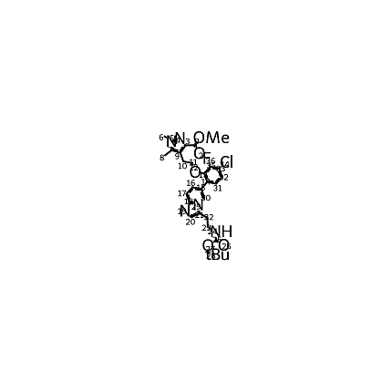 COC(=O)c1nn(C)c(C)c1CCOc1c(-c2ccc3ncc(CCNC(=O)OC(C)(C)C)n3c2)ccc(Cl)c1F